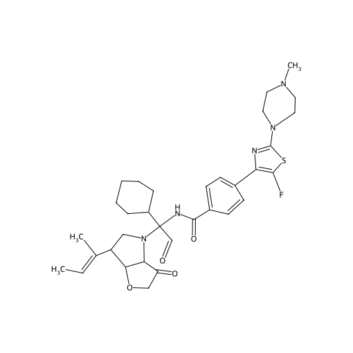 CC=C(C)C1CN(C(C=O)(NC(=O)c2ccc(-c3nc(N4CCN(C)CC4)sc3F)cc2)C2CCCCC2)C2C(=O)COC12